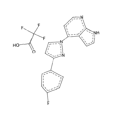 Fc1ccc(-c2ccn(-c3ccnc4[nH]ccc34)n2)cc1.O=C(O)C(F)(F)F